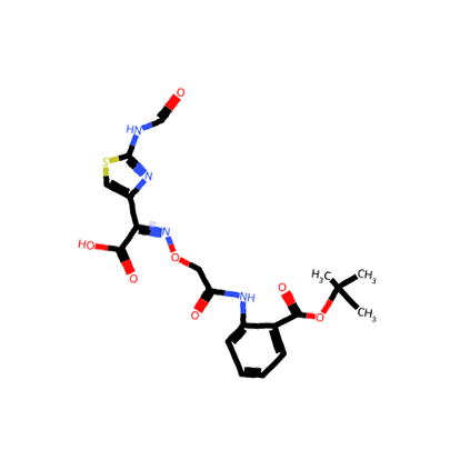 CC(C)(C)OC(=O)c1ccccc1NC(=O)CO/N=C(\C(=O)O)c1csc(NC=O)n1